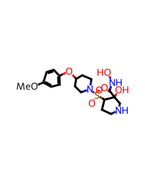 COc1ccc(OC2CCN(S(=O)(=O)C3CCNCC3(O)C(=O)NO)CC2)cc1